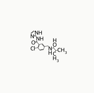 CC(C)C(O)NCc1ccc(Cl)c(C(=O)Nc2ncc[nH]2)c1